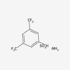 O=S(=O)(O)c1cc(C(F)(F)F)cc(C(F)(F)F)c1.[AlH3]